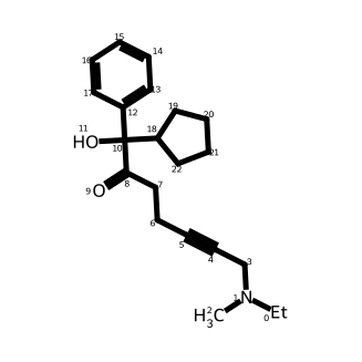 CCN(C)CC#CCCC(=O)C(O)(c1ccccc1)C1CCCC1